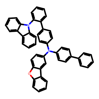 c1ccc(-c2ccc(N(c3ccc(-c4ccccc4-n4c5ccccc5c5ccccc54)cc3)c3ccc4oc5ccccc5c4c3)cc2)cc1